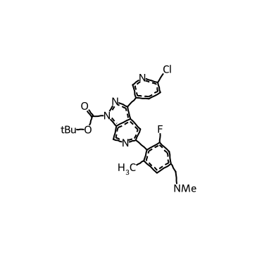 CNCc1cc(C)c(-c2cc3c(-c4ccc(Cl)nc4)nn(C(=O)OC(C)(C)C)c3cn2)c(F)c1